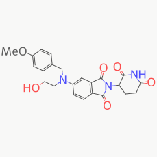 COc1ccc(CN(CCO)c2ccc3c(c2)C(=O)N(C2CCC(=O)NC2=O)C3=O)cc1